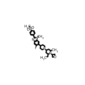 CCC1CC(N2CCC(c3cc4c(cc3F)nc(-c3ccc(S(C)(=O)=O)cc3)n4C)CC2)CC(C)N1C1COC1